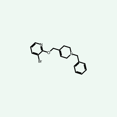 Brc1cccnc1OCC1=CCN(Cc2ccccc2)CC1